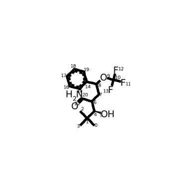 CC(C)(C)[C@H](O)C(CC(OC(F)(F)F)c1ccccc1)C(N)=O